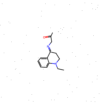 CCN1CC/C(=N\CC(C)=O)c2ccccc21